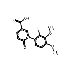 COc1ccc(-n2cc(C(=O)O)ccc2=O)c(F)c1OC